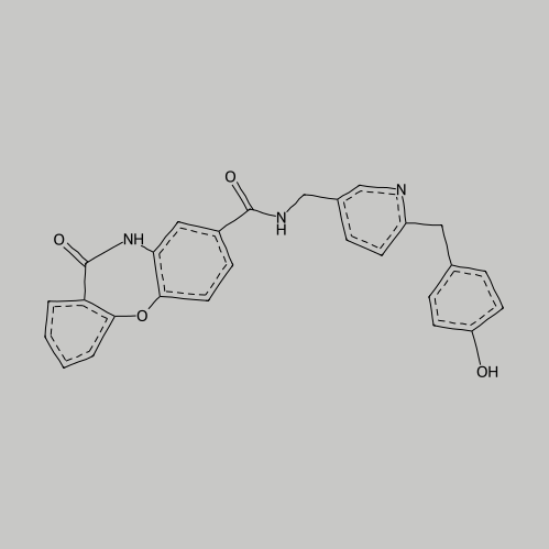 O=C(NCc1ccc(Cc2ccc(O)cc2)nc1)c1ccc2c(c1)NC(=O)c1ccccc1O2